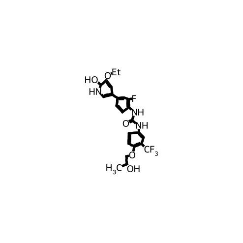 CCOC1=CC(c2ccc(NC(=O)Nc3ccc(OCC(C)O)c(C(F)(F)F)c3)c(F)c2)=CNC1O